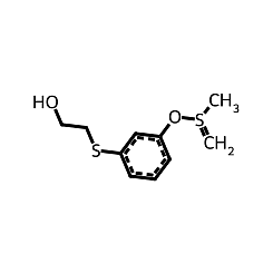 C=S(C)Oc1cccc(SCCO)c1